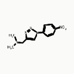 CN(C)Cc1cn(-c2ccc([N+](=O)[O-])cc2)nn1